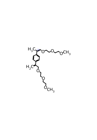 C=C(COCCOCCOC)c1ccc(/C(C)=C\OCCOCCOC)cc1